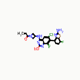 C=CC(=O)N1CC(Nc2nc(O)nc3c(F)c(-c4ccc(F)c5sc(N)nc45)c(Cl)cc23)C1